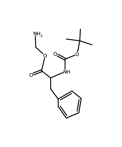 CC(C)(C)OC(=O)NC(Cc1ccccc1)C(=O)OCN